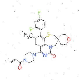 C=CC(=O)N1CCN(c2nc(=O)n3c4c(c(-c5ccc(F)cc5F)c(C(F)(F)F)cc24)SCC2(CCOCC2)C3)CC1